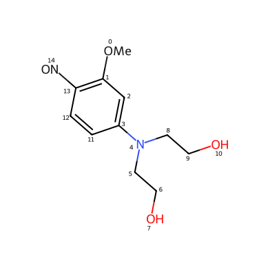 COc1cc(N(CCO)CCO)ccc1N=O